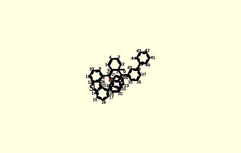 CC12C=CC=CC1=C(c1cccc3sc4cccc(-c5ccccc5)c4c13)c1ccccc1C2c1cccc(-c2ccccc2)c1